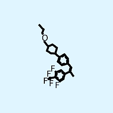 CCCOCC1CCC(c2ccc(C=C(C)c3cc(F)c(C(F)(F)F)c(F)c3)cc2)CC1